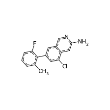 Cc1cccc(F)c1-c1cc(Cl)c2cc(N)ncc2c1